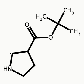 CC(C)(C)OC(=O)C1[CH]NCC1